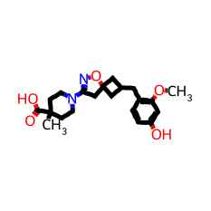 COc1cc(O)ccc1CC1CC2(CC(N3CCC(C)(C(=O)O)CC3)=NO2)C1